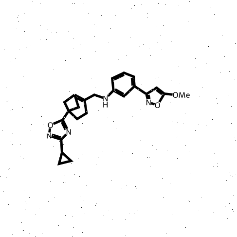 COc1cc(-c2cccc(NCC3=C4CC(c5nc(C6CC6)no5)(CC3)C4)c2)no1